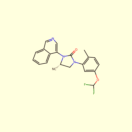 Cc1ccc(OC(F)F)cc1N1C[C@H](C#N)N(c2cncc3ccccc23)C1=O